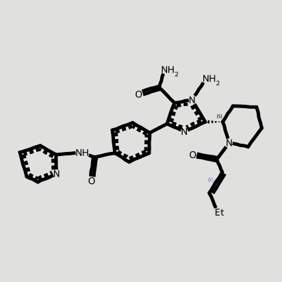 CC/C=C/C(=O)N1CCCC[C@H]1c1nc(-c2ccc(C(=O)Nc3ccccn3)cc2)c(C(N)=O)n1N